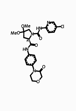 COC1(OC)C[C@H](C(=O)Nc2ccc(N3CCOCC3=O)cc2)N(C(=O)Nc2ccc(Cl)cn2)C1